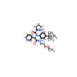 COCCCNC(=O)C(c1cccnc1)N(C(=O)[C@H]1CCCN1)c1ccc(C(C)(C)C)cc1